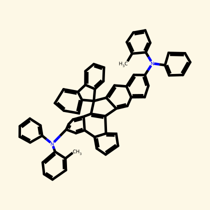 Cc1ccccc1N(c1ccccc1)c1ccc2cc3c(cc2c1)C1(c2ccccc2-c2ccccc21)c1c-3c2ccccc2c2cc(N(c3ccccc3)c3ccccc3C)ccc12